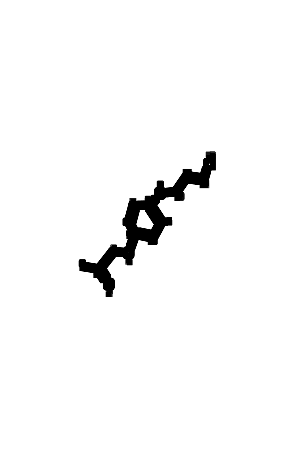 CC(=O)COc1ccc(OCC=CCl)cc1